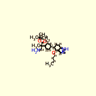 CCCCOc1c(-c2ccc(C(C)(CN)C(=O)OC(C)(C)C)cc2)ccc2[nH]ncc12